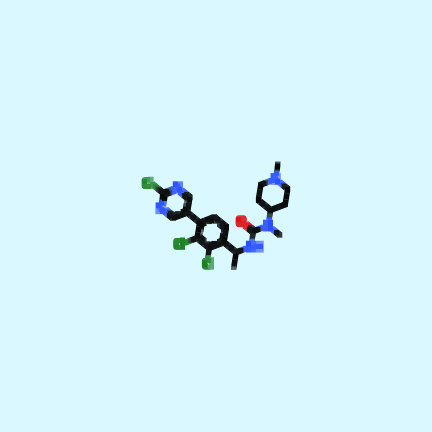 CC(NC(=O)N(C)C1CCN(C)CC1)c1ccc(-c2cnc(Cl)nc2)c(Cl)c1Cl